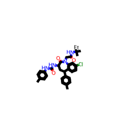 CCC(C)(C)NC(=O)CN1C(=O)C(NC(=O)Nc2ccc(C)cc2)CC(c2ccc(C)cc2)c2ccc(Cl)cc21